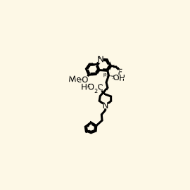 COc1ccc2ncc(CF)c([C@H](O)CCC3(C(=O)O)CCN(CCCc4ccccc4)CC3)c2c1